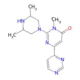 CC1CN(c2nc(-c3ccncn3)cc(=O)n2C)CC(C)N1